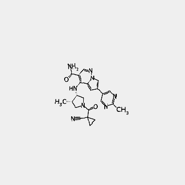 Cc1ncc(-c2cc3c(N[C@@H]4CN(C(=O)C5(C#N)CC5)C[C@@H]4C)c(C(N)=O)cnn3c2)cn1